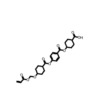 C=CC(=O)OCOC1CCC(C(=O)Oc2ccc(C(=O)OC3CCC(C(=O)O)CC3)cc2)CC1